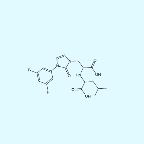 CC(C)CC(NC(Cn1ccn(-c2cc(F)cc(F)c2)c1=O)C(=O)O)C(=O)O